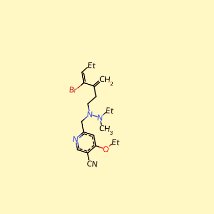 C=C(CCN(Cc1cc(OCC)c(C#N)cn1)N(C)CC)/C(Br)=C\CC